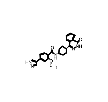 COc1cc(-c2cn[nH]c2)ccc1C(=O)N[C@H]1CC[C@H](c2n[nH]c(=O)c3ccccc32)CC1